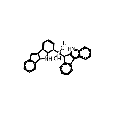 C[Si](C)(C1c2ccccc2-c2c1[nH]c1ccccc21)C1C=CC=C2C3=Cc4ccccc4C3NC21